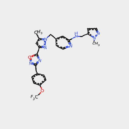 Cc1cc(-c2nc(-c3ccc(OC(F)(F)F)cc3)no2)nn1Cc1ccnc(NCc2ccnn2C)c1